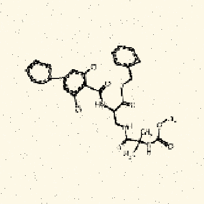 CC(C)(C)OC(=O)NC(C)(C)C(=O)NCC(NC(=O)c1c(Cl)cc(-c2ccccc2)cc1Cl)C(=O)OCc1ccccc1